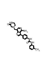 Cc1cccc(NC(=O)Nc2ccc(-c3csc4c(CN5CCNC(=O)C5)cnc(N)c34)cc2)c1